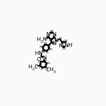 Cc1cc(C)c2oc(Nc3ccc(-c4nn(Cc5c[nH]cn5)c5ncnc(N)c45)cc3)nc2c1